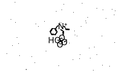 C=CC[N+](C)(CC=C)Cc1ccccc1.COS(=O)(=O)O